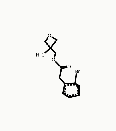 CC1(COC(=O)Cc2ccccc2Br)COC1